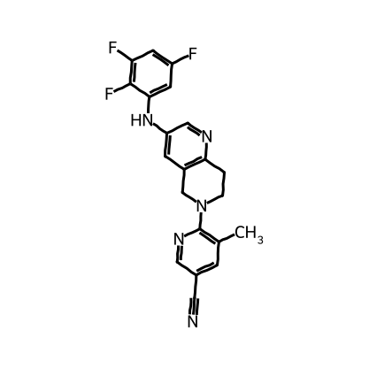 Cc1cc(C#N)cnc1N1CCc2ncc(Nc3cc(F)cc(F)c3F)cc2C1